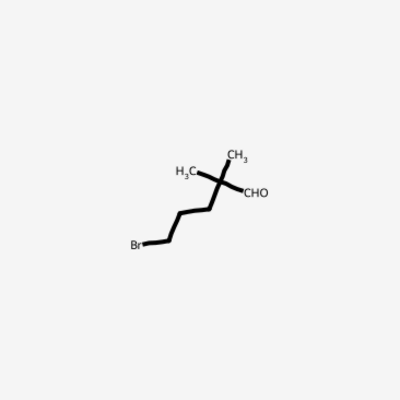 CC(C)(C=O)CCCBr